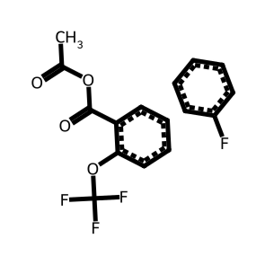 CC(=O)OC(=O)c1ccccc1OC(F)(F)F.Fc1ccccc1